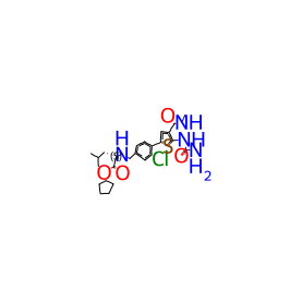 CNC(=O)c1cc(-c2ccc(CN[C@@H](CC(C)C)C(=O)OC3CCCC3)cc2Cl)sc1NC(N)=O